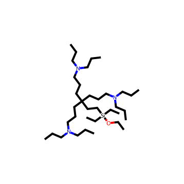 CCCN(CCC)CCCC(CCCN(CCC)CCC)(CCCN(CCC)CCC)CC[Si](CC)(CC)OCC